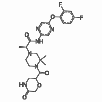 C[C@@H](C(=O)Nc1cnc(Oc2ccc(F)cc2F)cn1)N1CCN(C(=O)C2CNC(=O)CO2)C(C)(C)C1